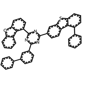 c1ccc(-c2cccc(-c3nc(-c4ccc5c(c4)sc4cccc(-c6ccccc6)c45)nc(-c4cccc5oc6ccccc6c45)n3)c2)cc1